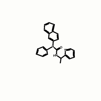 CC(NC(=O)N(c1ccccc1)c1ccc2ccccc2c1)c1ccccn1